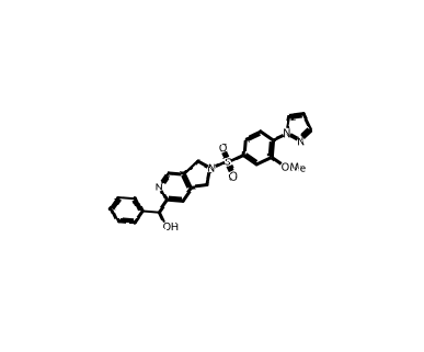 COc1cc(S(=O)(=O)N2Cc3cnc(C(O)c4ccccc4)cc3C2)ccc1-n1cccn1